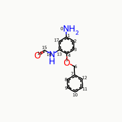 Nc1ccc(OCc2ccccc2)c(NC=O)c1